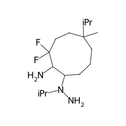 CC(C)N(N)C1CCCC(C)(C(C)C)CCC(F)(F)C1N